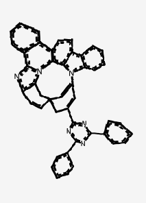 C1=CC23C=C(C=C(c4nc(-c5ccccc5)nc(-c5ccccc5)n4)C2)n2c4ccccc4c4ccc5c6ccccc6c6nc1c(n6c5c42)C3